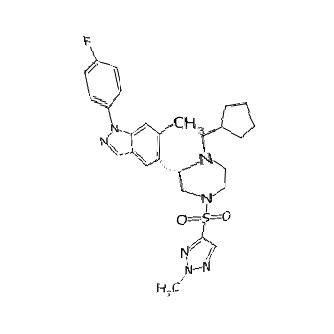 Cc1cc2c(cnn2-c2ccc(F)cc2)cc1[C@H]1CN(S(=O)(=O)c2cnn(C)n2)CCN1CC1CCCC1